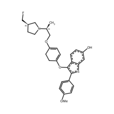 COC1=C=C=C(c2sc3cc(O)ccc3c2OC2=CC=C(OC[C@H](C)N3CC[C@@H](CF)C3)CC2)C=C1